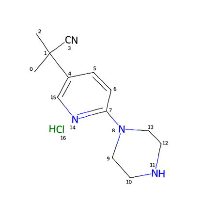 CC(C)(C#N)c1ccc(N2CCNCC2)nc1.Cl